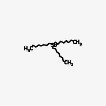 CCCCCCC[CH2][Sb]([CH2]CCCCCCC)[CH2]CCCCCCC